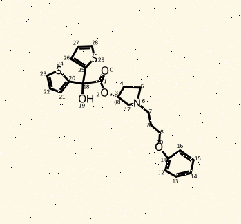 O=C(O[C@@H]1CCN(CCCOc2ccccc2)C1)C(O)(c1cccs1)c1cccs1